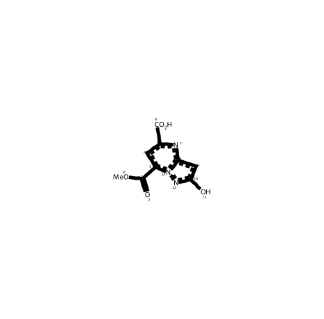 COC(=O)c1cc(C(=O)O)nc2cc(O)nn12